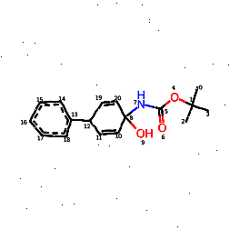 CC(C)(C)OC(=O)NC1(O)C=CC(c2ccccc2)C=C1